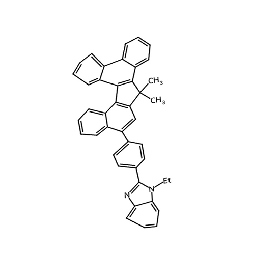 CCn1c(-c2ccc(-c3cc4c(c5ccccc35)-c3c(c5ccccc5c5ccccc35)C4(C)C)cc2)nc2ccccc21